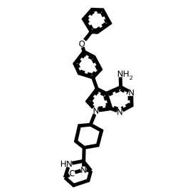 Nc1ncnc2c1c(-c1ccc(Oc3ccccc3)cc1)cn2C1CCC(N2CC3CCC2CN3)CC1